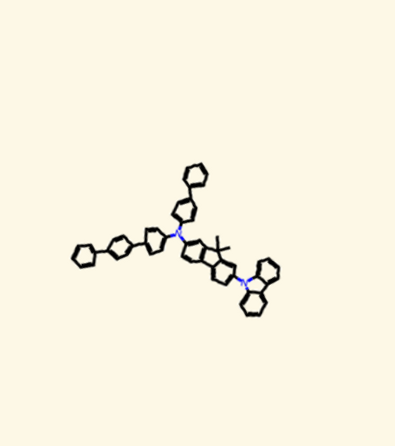 CC1(C)c2cc(N(c3ccc(-c4ccccc4)cc3)c3ccc(-c4ccc(-c5ccccc5)cc4)cc3)ccc2-c2ccc(-n3c4ccccc4c4ccccc43)cc21